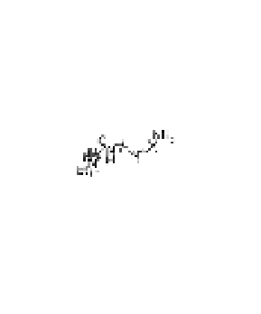 CCC(C)(C)n1cc(C(=O)NCC(C)(C)CCN(C)CCC(C)(C)CN)nn1